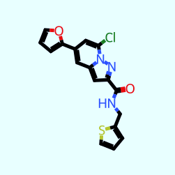 O=C(NCc1cccs1)c1cc2cc(-c3ccco3)cc(Cl)n2n1